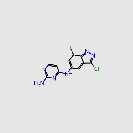 Nc1nccc(NC2=CC(I)C3=NN=C(Cl)C3=C2)n1